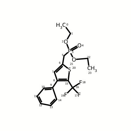 CCOP(=O)(Cc1cc(-c2ccccc2)c(C(F)(F)F)s1)OCC